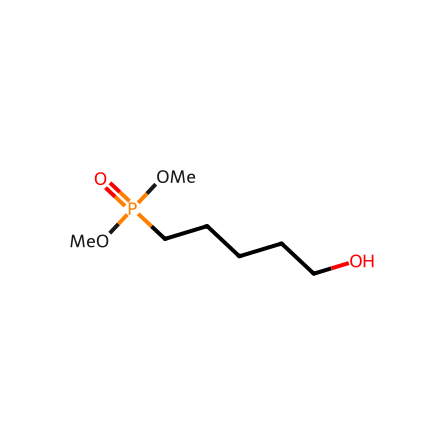 COP(=O)(CCCCCO)OC